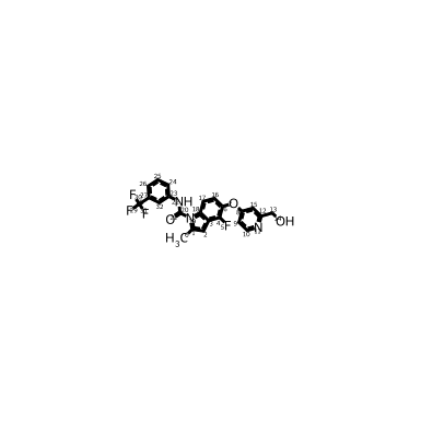 Cc1cc2c(F)c(Oc3ccnc(CO)c3)ccc2n1C(=O)Nc1cccc(C(F)(F)F)c1